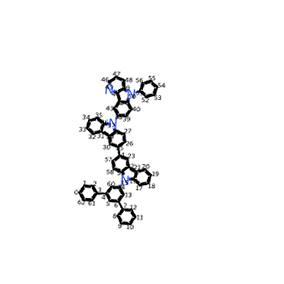 c1ccc(-c2cc(-c3ccccc3)cc(-n3c4ccccc4c4cc(-c5ccc6c(c5)c5ccccc5n6-c5ccc6c(c5)c5ncccc5n6-c5ccccc5)ccc43)c2)cc1